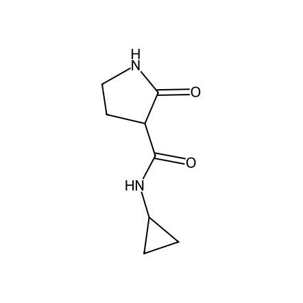 O=C1NCCC1C(=O)NC1CC1